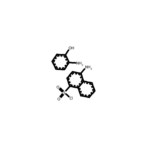 Nc1ccc(S(=O)(=O)Cl)c2ccccc12.Nc1ccccc1O